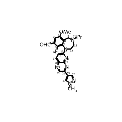 COc1cc(C=O)c(F)c2c1CN(C(C)C)CCN2c1ccc2ncc(-c3cnn(C)c3)nc2n1